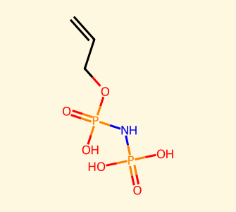 C=CCOP(=O)(O)NP(=O)(O)O